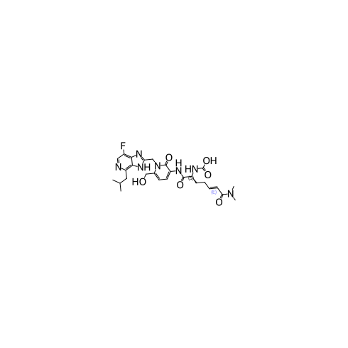 CC(C)Cc1ncc(F)c2nc(Cn3c(CO)ccc(NC(=O)[C@H](CC/C=C/C(=O)N(C)C)NC(=O)O)c3=O)[nH]c12